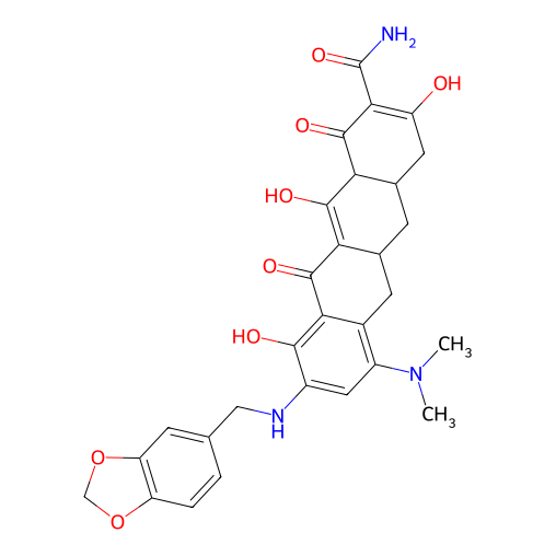 CN(C)c1cc(NCc2ccc3c(c2)OCO3)c(O)c2c1CC1CC3CC(O)=C(C(N)=O)C(=O)C3C(O)=C1C2=O